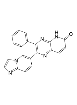 O=c1ccc2nc(-c3ccc4nccn4c3)c(-c3ccccc3)nc2[nH]1